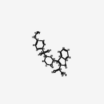 CC(C)Oc1ccc(S(=O)(=O)N2CCO[C@H](c3c(C(N)=O)sc4ccccc34)C2)cc1